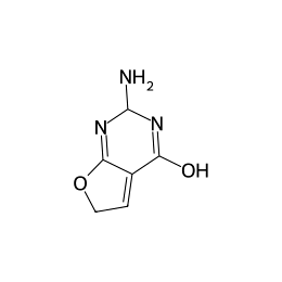 NC1N=C(O)C2=CCOC2=N1